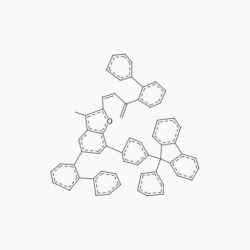 C=C(/C=C\c1oc2c(-c3ccc(C4(c5ccccc5)c5ccccc5-c5ccccc54)cc3)cc(-c3ccccc3-c3ccccc3)cc2c1C)c1ccccc1-c1ccccc1